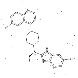 CC[C@H](c1nc2ncc(Cl)cc2[nH]1)[C@H]1CC[C@@H](c2ccnc3ccc(F)cc32)CC1